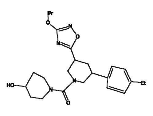 CCc1ccc(C2CC(c3nc(OC(C)C)no3)CN(C(=O)N3CCC(O)CC3)C2)cc1